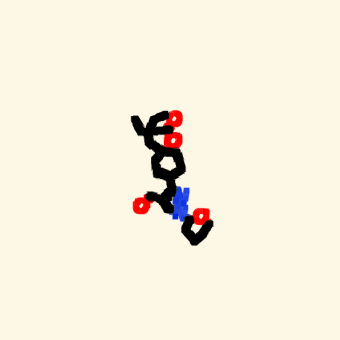 CCC1(CC)CC2(CC=C(c3nn(C4CCCCO4)cc3C=O)CC2)OC1=O